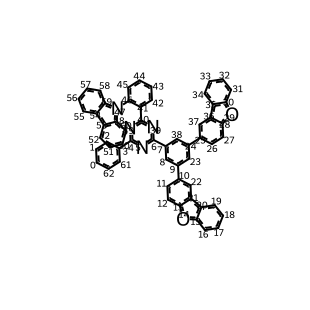 c1ccc(-c2nc(-c3cc(-c4ccc5oc6ccccc6c5c4)cc(-c4ccc5oc6ccccc6c5c4)c3)nc(-c3ccccc3-n3c4ccccc4c4ccccc43)n2)cc1